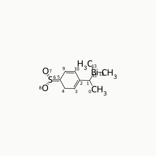 C[CH](C1=CCC(=S(=O)=O)C=C1)[Bi]([CH3])[CH3]